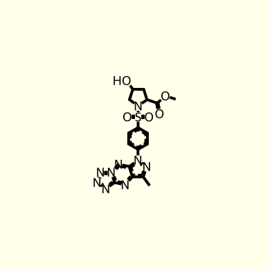 COC(=O)C1CC(O)CN1S(=O)(=O)c1ccc(-n2nc(C)c3nc4nnnn4nc32)cc1